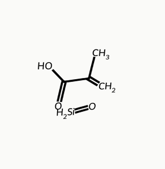 C=C(C)C(=O)O.O=[SiH2]